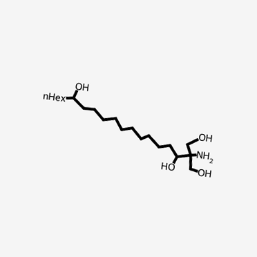 CCCCCCC(O)CCCCCCCCCCC(O)C(N)(CO)CO